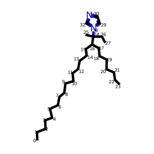 CCCCCCCCCCCCCCCCC(CCCCCCC)C(C)(CC)n1ccnc1